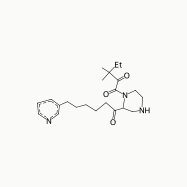 CCC(C)(C)C(=O)C(=O)N1CCNCC1C(=O)CCCCCc1cccnc1